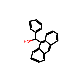 OC(c1ccccc1)c1c2ccccc2cc2ccccc12